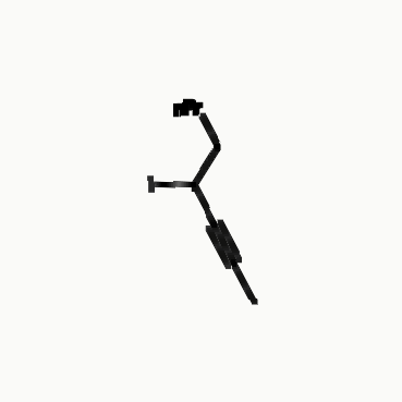 CC#C[C](I)CCCC